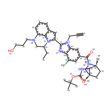 C#CCn1c(-c2cc3cccc4c3n2C(CC)CN4CCCO)nc2c(F)cc(C(=O)N3C[C@H]4CC[C@@H]3[C@@H]4NC(=O)OC(C)(C)C)cc21